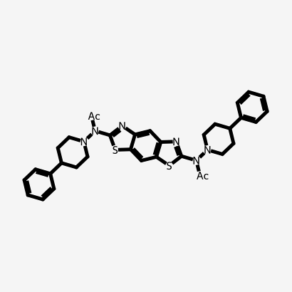 CC(=O)N(c1nc2cc3nc(N(C(C)=O)N4CCC(c5ccccc5)CC4)sc3cc2s1)N1CCC(c2ccccc2)CC1